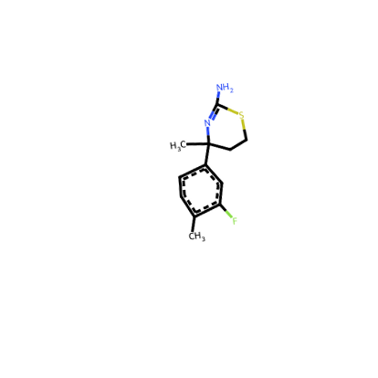 Cc1ccc(C2(C)CCSC(N)=N2)cc1F